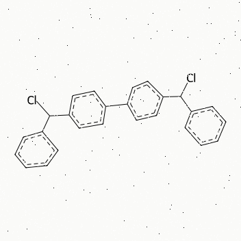 ClC(c1ccccc1)c1ccc(-c2ccc(C(Cl)c3ccccc3)cc2)cc1